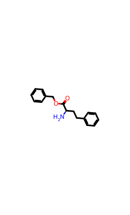 N[C@H](CCc1ccccc1)C(=O)OCc1ccccc1